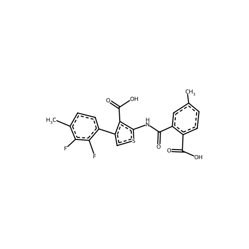 Cc1ccc(C(=O)O)c(C(=O)Nc2scc(-c3ccc(C)c(F)c3F)c2C(=O)O)c1